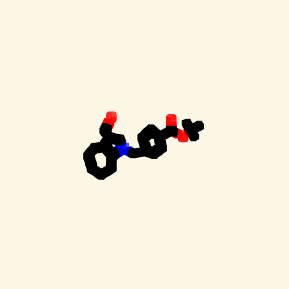 CC(C)(C)OC(=O)c1ccc(Cn2cc(C=O)c3c2=CCC=CC=3)cc1